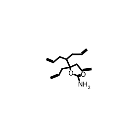 C=CCC(CC=C)C(CC=C)(CC=C)OC(N)=O